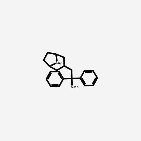 CNC(CC1CC2CCC(C1)N2C)(c1ccccc1)c1ccccc1